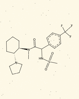 CN(C(=O)C(NS(C)(=O)=O)c1ccc(C(F)(F)F)cc1)[C@@H]1CCCC[C@H]1N1CCCC1